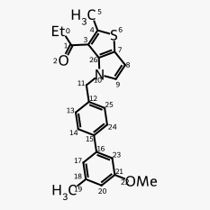 CCC(=O)c1c(C)sc2ccn(Cc3ccc(-c4cc(C)cc(OC)c4)cc3)c12